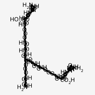 NNC(=O)CCCC(=O)NCCCOCCOCCOCCCN(CCC(=O)NCCNC(=O)CCCC(=O)NCCCOCCOCCOCCCNC(=O)CCC(NC(=O)c1ccc(NCc2cnc3c(=O)[nH]c(N)nc3n2)cc1)C(=O)O)CCC(=O)NCCNC(=O)CCCC(=O)NCCCOCCOCCOCCCNC(=O)CCC(NC(=O)c1ccc(NCc2cnc3c(=O)[nH]c(N)nc3n2)cc1)C(=O)O